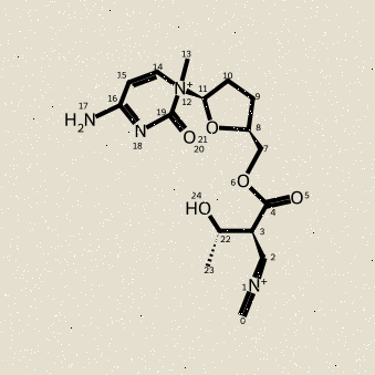 C=[N+]=C[C@H](C(=O)OC[C@@H]1CC[C@H]([N+]2(C)C=CC(N)=NC2=O)O1)[C@H](C)O